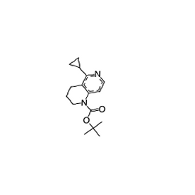 CC(C)(C)OC(=O)N1CCCc2c1ccnc2C1CC1